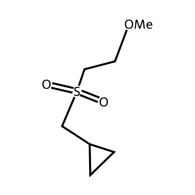 COCCS(=O)(=O)CC1CC1